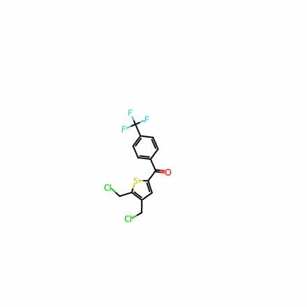 O=C(c1ccc(C(F)(F)F)cc1)c1cc(CCl)c(CCl)s1